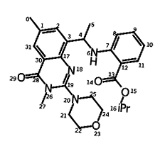 Cc1cc(C(C)Nc2ccccc2C(=O)OC(C)C)c2nc(N3CCOCC3)n(C)c(=O)c2c1